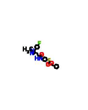 Cn1ncc(/C=C/C(=O)Nc2ccc(SC(=O)OCc3ccccc3)cc2)c1-c1ccc(F)cc1